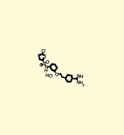 Cl.N=C(N)c1ccc(CCOc2cccc(NS(=O)(=O)c3ccc(Cl)s3)c2)cc1